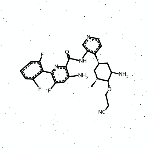 C[C@H]1C[C@@H](c2ccncc2NC(=O)c2nc(-c3c(F)cccc3F)c(F)cc2N)C[C@@H](N)[C@H]1OCCC#N